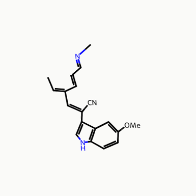 C/C=C(/C=C(\C#N)c1c[nH]c2ccc(OC)cc12)\C=C\C=N\C